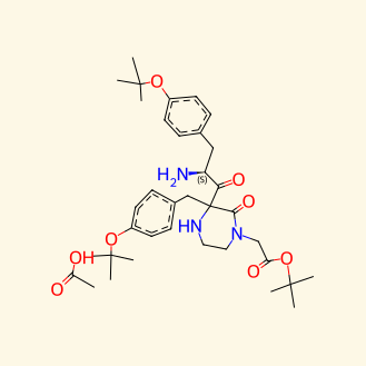 CC(=O)O.CC(C)(C)OC(=O)CN1CCNC(Cc2ccc(OC(C)(C)C)cc2)(C(=O)[C@@H](N)Cc2ccc(OC(C)(C)C)cc2)C1=O